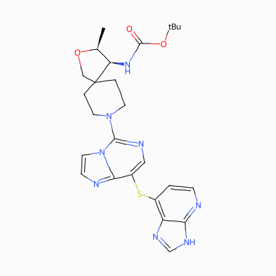 C[C@@H]1OCC2(CCN(c3ncc(Sc4ccnc5[nH]cnc45)c4nccn34)CC2)[C@@H]1NC(=O)OC(C)(C)C